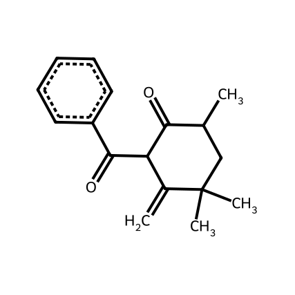 C=C1C(C(=O)c2ccccc2)C(=O)C(C)CC1(C)C